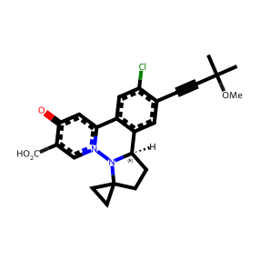 COC(C)(C)C#Cc1cc2c(cc1Cl)-c1cc(=O)c(C(=O)O)cn1N1[C@@H]2CCC12CC2